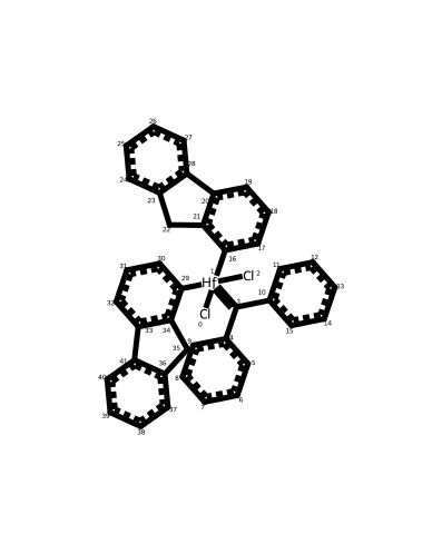 [Cl][Hf]([Cl])(=[C](c1ccccc1)c1ccccc1)([c]1cccc2c1Cc1ccccc1-2)[c]1cccc2c1Cc1ccccc1-2